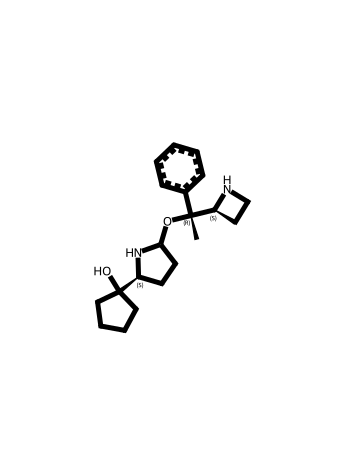 C[C@@](OC1CC[C@@H](C2(O)CCCC2)N1)(c1ccccc1)[C@@H]1CCN1